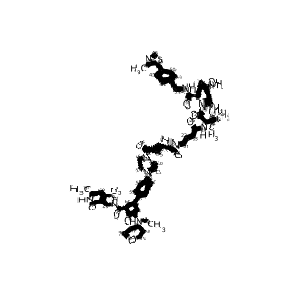 CCN(c1cc(-c2ccc(N3CCN(C(=O)CCC(=O)NCCCC(=O)N[C@H](C(=O)N4C[C@H](O)C[C@@H]4C(=O)NCc4ccc(-c5scnc5C)cc4)C(C)(C)C)CC3)cc2)cc(C(=O)NCc2c(C)cc(C)[nH]c2=O)c1C)C1CCOCC1